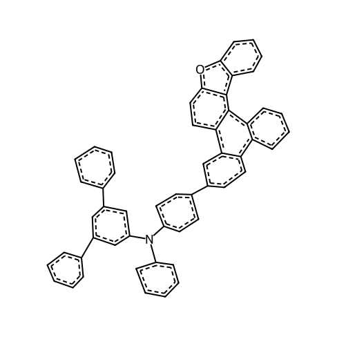 c1ccc(-c2cc(-c3ccccc3)cc(N(c3ccccc3)c3ccc(-c4ccc5c6ccccc6c6c(ccc7oc8ccccc8c76)c5c4)cc3)c2)cc1